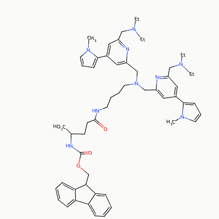 CCN(CC)Cc1cc(-c2cccn2C)cc(CN(CCCCNC(=O)CCC(NC(=O)OCC2c3ccccc3-c3ccccc32)C(=O)O)Cc2cc(-c3cccn3C)cc(CN(CC)CC)n2)n1